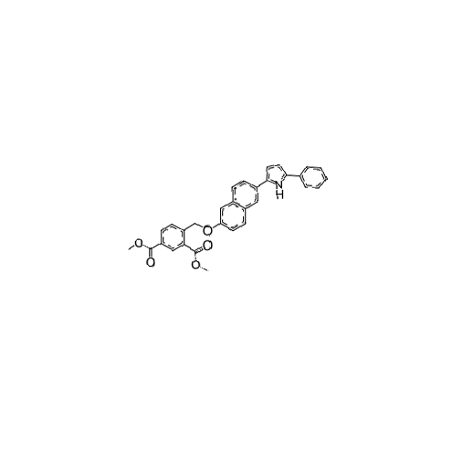 COC(=O)c1ccc(COc2ccc3cc(-c4ccc(-c5ccccc5)[nH]4)ccc3c2)c(C(=O)OC)c1